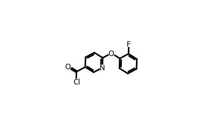 O=C(Cl)c1ccc(Oc2ccccc2F)nc1